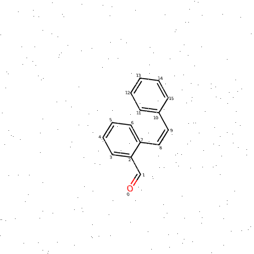 O=Cc1ccccc1/C=C\c1ccccc1